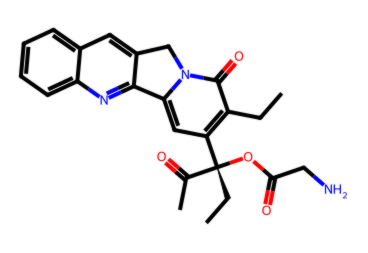 CCc1c([C@](CC)(OC(=O)CN)C(C)=O)cc2n(c1=O)Cc1cc3ccccc3nc1-2